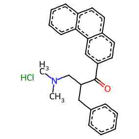 CN(C)CC(Cc1ccccc1)C(=O)c1ccc2ccc3ccccc3c2c1.Cl